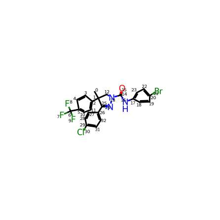 CC1(c2ccc(C(F)(F)F)cc2)CN(C(=O)Nc2ccc(Br)cc2)N=C1c1ccc(Cl)cc1